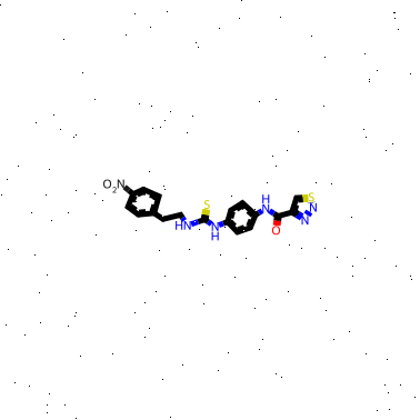 O=C(Nc1ccc(NC(=S)NCCc2ccc([N+](=O)[O-])cc2)cc1)c1csnn1